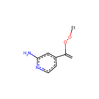 C=C(OOCC)c1ccnc(N)c1